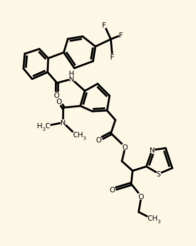 CCOC(=O)C(COC(=O)Cc1ccc(NC(=O)c2ccccc2-c2ccc(C(F)(F)F)cc2)c(C(=O)N(C)C)c1)c1nccs1